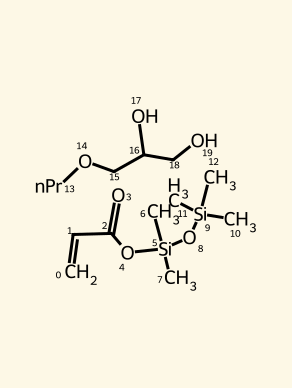 C=CC(=O)O[Si](C)(C)O[Si](C)(C)C.CCCOCC(O)CO